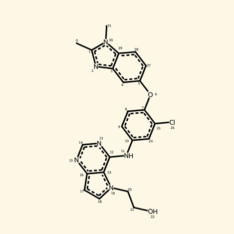 Cc1nc2cc(Oc3ccc(Nc4ncnc5ccn(CCO)c45)cc3Cl)ccc2n1C